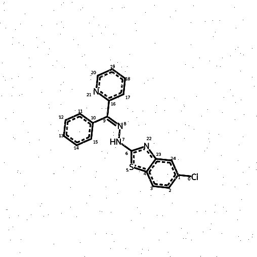 Clc1ccc2sc(N/N=C(\c3ccccc3)c3ccccn3)nc2c1